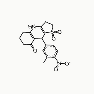 Cc1cc(C2C3=C(CCCC3=O)NC3=C2S(=O)(=O)CC3)ccc1[N+](=O)[O-]